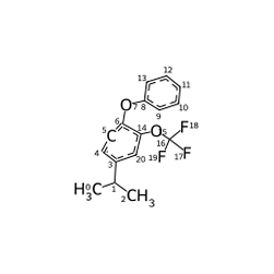 CC(C)c1ccc(Oc2ccccc2)c(OC(F)(F)F)c1